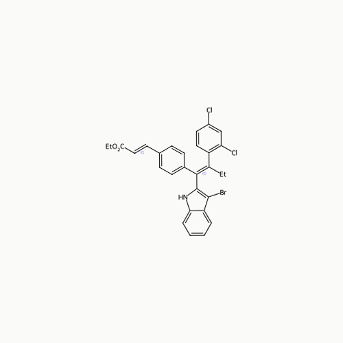 CCOC(=O)/C=C/c1ccc(/C(=C(/CC)c2ccc(Cl)cc2Cl)c2[nH]c3ccccc3c2Br)cc1